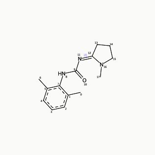 Cc1cccc(C)c1NC(=O)/N=C1/CCCN1C